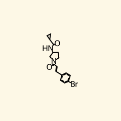 O=C(NC1CCN(C(=O)C=Cc2ccc(Br)cc2)C1)C1CC1